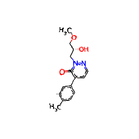 COC[C@H](O)Cn1nccc(-c2c[c]c(C)cc2)c1=O